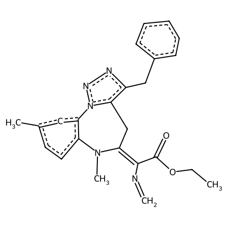 C=N/C(C(=O)OCC)=C1/Cc2c(Cc3ccccc3)nnn2-c2cc(C)ccc2N1C